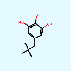 CC(C)(C)Cc1cc(O)c(O)c(O)c1